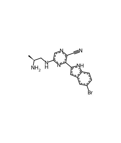 C[C@H](N)CNc1cnc(C#N)c(-c2cc3cc(Br)ccc3[nH]2)n1